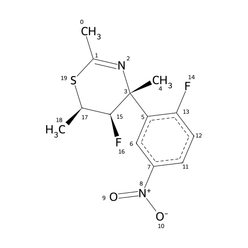 CC1=N[C@](C)(c2cc([N+](=O)[O-])ccc2F)[C@@H](F)[C@@H](C)S1